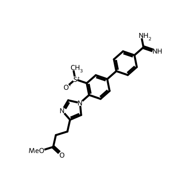 COC(=O)CCc1cn(-c2ccc(-c3ccc(C(=N)N)cc3)cc2[S+](C)[O-])cn1